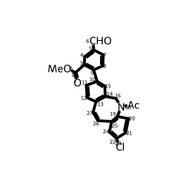 COC(=O)c1cc(C=O)ccc1-c1ccc2c(c1)CN(C(C)=O)c1ccc(Cl)cc1C=C2